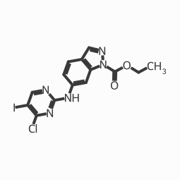 CCOC(=O)n1ncc2ccc(Nc3ncc(I)c(Cl)n3)cc21